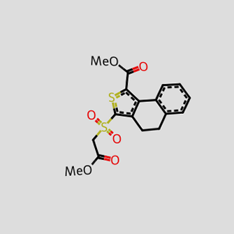 COC(=O)CS(=O)(=O)c1sc(C(=O)OC)c2c1CCc1ccccc1-2